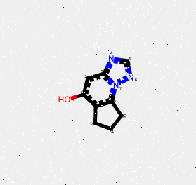 Oc1cc2ncnn2c2c1CCC2